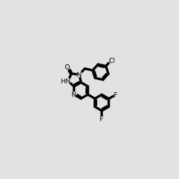 O=c1[nH]c2ncc(-c3cc(F)cc(F)c3)cc2n1Cc1cccc(Cl)c1